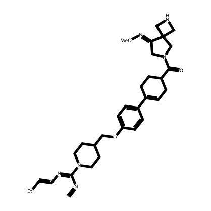 C=N/C(=N\C=C\CC)N1CCC(COc2ccc(C3=CCC(C(=O)N4C/C(=N\OC)C5(CNC5)C4)CC3)cc2)CC1